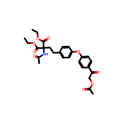 CCOC(=O)C(CCc1ccc(Oc2ccc(C(=O)COC(C)=O)cc2)cc1)(NC(C)=O)C(=O)OCC